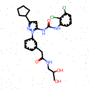 O=C(Cc1cccc(-n2nc(C3CCCC3)cc2NC(=O)Nc2cccc(Cl)c2Cl)c1)NCC(O)CO